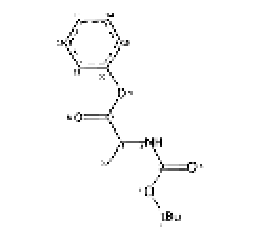 CC(NC(=O)OC(C)(C)C)C(=O)Oc1ccccc1